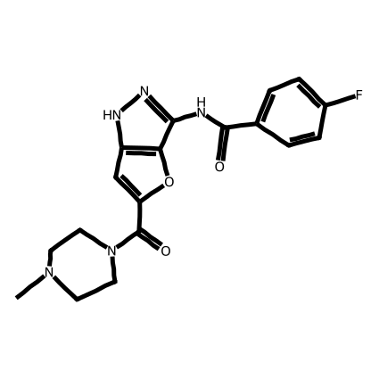 CN1CCN(C(=O)c2cc3[nH]nc(NC(=O)c4ccc(F)cc4)c3o2)CC1